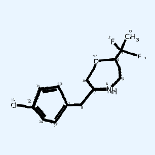 CC(F)(F)C1CNC(Cc2ccc(Cl)cc2)CO1